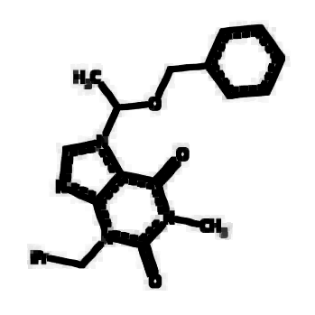 CC(C)Cn1c(=O)n(C)c(=O)c2c1ncn2C(C)OCc1ccccc1